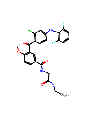 CCOC(=O)CNC(=O)CNC(=O)c1ccc(OCC)c(C(=O)c2ccc(Nc3c(F)cccc3F)cc2Cl)c1